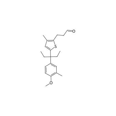 CCC(CC)(c1ccc(OC)c(C)c1)c1cc(C)c(CCC=O)s1